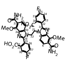 COc1c(C(N)=O)ccc2c1nc(-c1ccc(F)cc1C(=O)O)n2CCn1c(-c2ccc(F)cc2C(=O)O)nc2c(OC)c(C(N)=O)ccc21